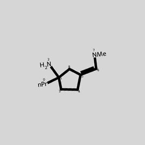 CCCC1(N)CC/C(=C/NC)C1